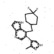 Cc1n[nH]cc1-c1cnc2cc[nH]c2c1CC1CCC(F)(F)CC1